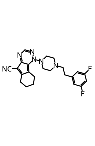 N#Cc1c2ncnn(N3CCN(CCc4cc(F)cc(F)c4)CC3)c-2c2c1CCCC2